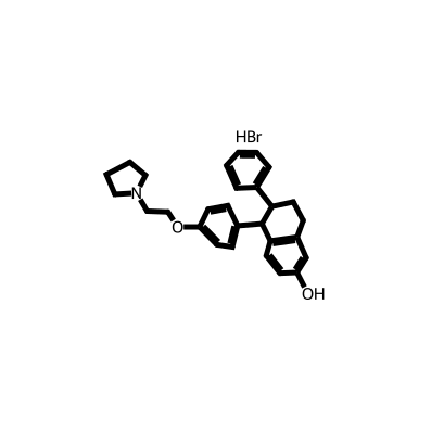 Br.Oc1ccc2c(c1)CCC(c1ccccc1)C2c1ccc(OCCN2CCCC2)cc1